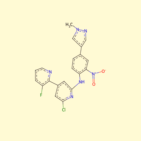 Cn1cc(-c2ccc(Nc3cc(-c4ncccc4F)cc(Cl)n3)c([N+](=O)[O-])c2)cn1